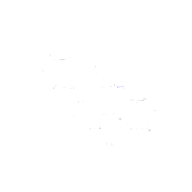 CCc1ccc(-c2ccccc2)c(C(N)=O)c1-c1ccccc1